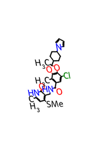 CSc1cc(C)[nH]c(=O)c1CNC(=O)c1cc(Cl)c2c(c1C)OC(C)(C1CCC(n3cccc3)CC1)O2